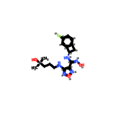 C[Si](C)(O)CCCNc1nonc1/C(=N\O)N[C@H]1Cc2ccc(F)cc21